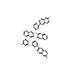 Cc1cc(C)c(B2c3cc4oc5cc6cc(C)ccc6cc5c4cc3N3c4cc5ccccc5cc4N(c4ccc5oc6cc7cc(C)ccc7cc6c5c4)c4cc5ccccc5c2c43)c(C)c1